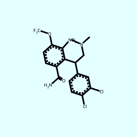 CN(C)CC(c1ccc(Cl)c(Cl)c1)c1c(C(N)=O)ccc(OC(F)(F)F)c1[N+](=O)[O-]